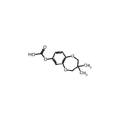 CC1(C)COc2ccc(OC(=O)O)cc2OC1